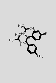 Cc1ccc([C@H](NC(C)C)[C@@H](NC(C)C)c2ccc(F)cc2)cc1